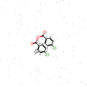 O=C([O-])c1ccc(Cl)cc1.O=C([O-])c1ccc(Cl)cc1.[Cu+2]